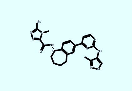 Cc1n[nH]cc1Nc1nccc(-c2ccc3c(c2)CCCC[C@@H]3NC(=O)c2nnc(C(C)(C)C)n2C)n1